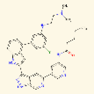 CCCCC(=O)Nc1cncc(-c2cc3c(-c4cc5c(-c6cc(F)cc(NCCN(C)C)c6)cccc5[nH]4)n[nH]c3cn2)c1